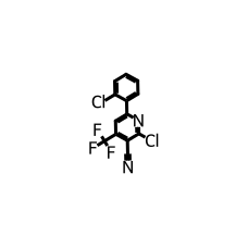 N#Cc1c(C(F)(F)F)cc(-c2ccccc2Cl)nc1Cl